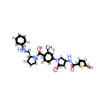 Cc1cc(N2CC(NC(=O)c3ccc(Br)s3)CC2=O)ccc1C(=O)N1CCC[C@H]1CNc1ccccc1